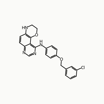 Clc1cccc(COc2ccc(Nc3ncnc4ccc5c(c34)OCCN5)cc2)c1